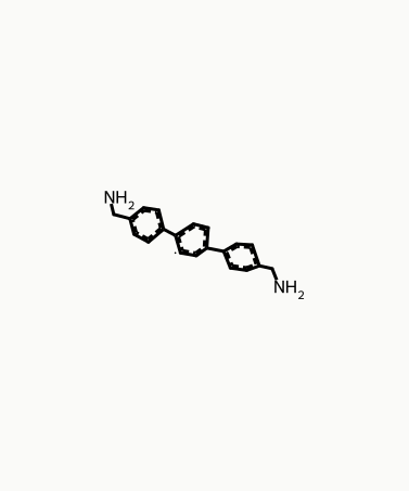 NCc1ccc(-c2[c]cc(-c3ccc(CN)cc3)cc2)cc1